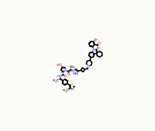 Cc1ncsc1-c1ccc([C@H](C)NC(=O)[C@@H]2C[C@@H](O)CN2C(=O)[C@@H](n2cc(C3CC(CN4CCC(c5ccc6c(c5)C5(CCCCC5)c5nc(=O)c7c(Br)cccc7n5-6)CC4)C3)nn2)C(C)(C)C)cc1